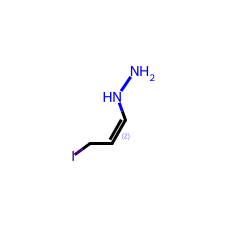 NN/C=C\CI